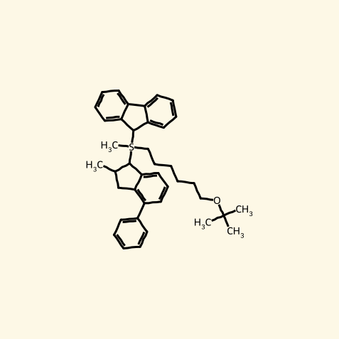 CC1Cc2c(-c3ccccc3)cccc2C1S(C)(CCCCCCOC(C)(C)C)C1c2ccccc2-c2ccccc21